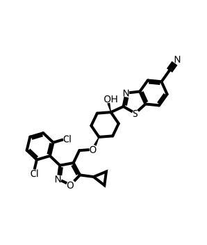 N#Cc1ccc2sc([C@]3(O)CC[C@@H](OCc4c(-c5c(Cl)cccc5Cl)noc4C4CC4)CC3)nc2c1